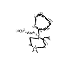 Br.Br.CC1CNCCN1c1cc[c]cc1